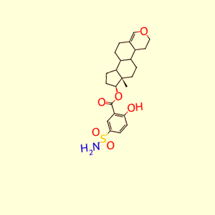 C[C@]12CCC3C4CCOC=C4CCC3C1CC[C@@H]2OC(=O)c1cc(S(N)(=O)=O)ccc1O